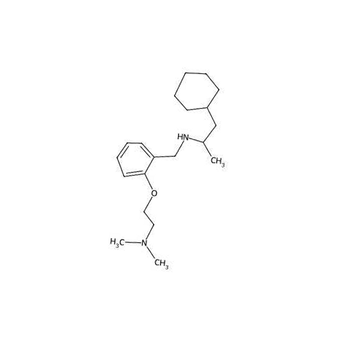 CC(CC1CCCCC1)NCc1ccccc1OCCN(C)C